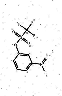 O=[N+]([O-])c1cccc(OS(=O)(=O)C(F)(F)F)c1